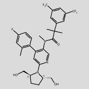 Cc1cc(F)ccc1-c1cc(N2[C@H](CO)CC[C@H]2CO)ncc1N(C)C(=O)C(C)(C)c1cc(C(F)(F)F)cc(C(F)(F)F)c1